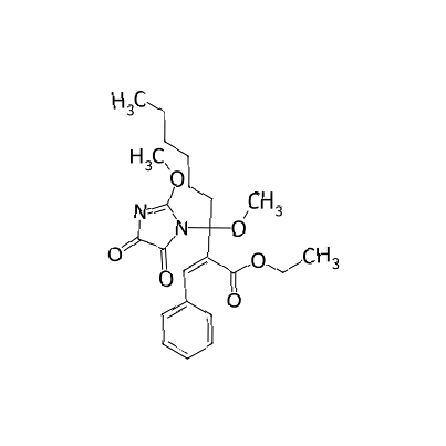 CCCCCCC(OC)(C(=Cc1ccccc1)C(=O)OCC)N1C(=O)C(=O)N=C1OC